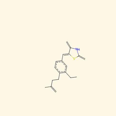 C=C(C)CCc1ccc(/C=C2\SC(=C)NC2=C)cc1CC